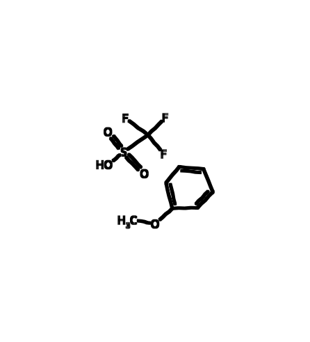 COc1ccccc1.O=S(=O)(O)C(F)(F)F